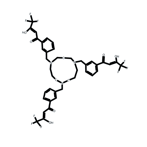 O=C(/C=C(\O)C(F)(F)F)c1cccc(CN2CCCN(Cc3cccc(C(=O)/C=C(\O)C(F)(F)F)c3)CCCN(Cc3cccc(C(=O)/C=C(\O)C(F)(F)F)c3)CCC2)c1